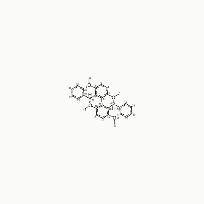 COc1ccc(OC)c(-c2c(OC)ccc(OC)c2Pc2ccccc2)c1Pc1ccccc1